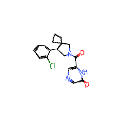 O=C(c1cncc(=O)[nH]1)N1C[C@@H](c2ccccc2Cl)C2(CCC2)C1